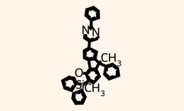 CC1(c2ccccc2)c2cc(-c3cnc(-c4ccccc4)nc3)ccc2-c2c1ccc1c2Oc2ccccc2[Si]1(C)c1ccccc1